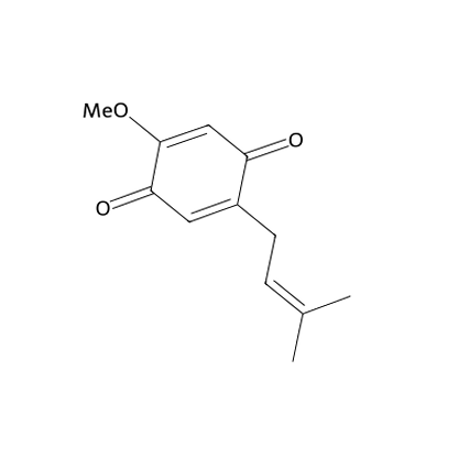 COC1=CC(=O)C(CC=C(C)C)=CC1=O